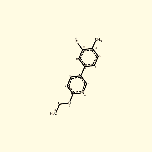 CCOc1ccc(-c2ccc(C)c(F)c2)cn1